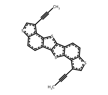 CC#Cc1csc2ccc3c4sc5c(ccc6scc(C#CC)c65)c4sc3c12